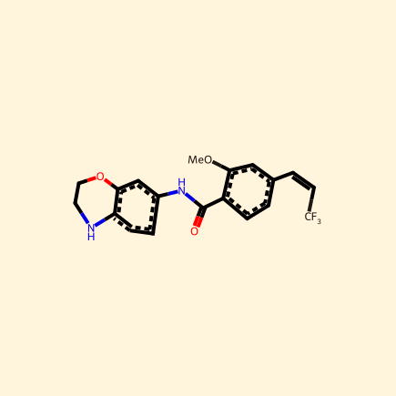 COc1cc(/C=C\C(F)(F)F)ccc1C(=O)Nc1ccc2c(c1)OCCN2